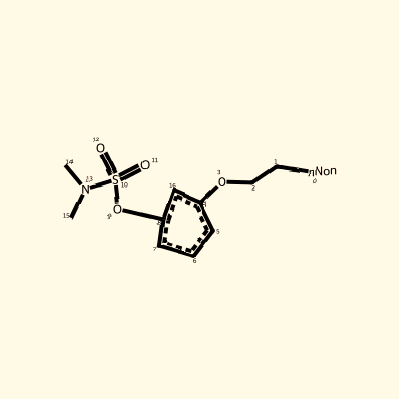 CCCCCCCCCCCOc1cccc(OS(=O)(=O)N(C)C)c1